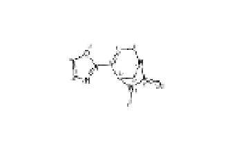 CN1C(=O)N2CC=C(c3ncco3)C1C2